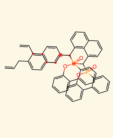 C=CCc1ccc(COC(c2cccc3cccc(C(OCc4ccc(CC=C)cc4)P4(=O)Oc5ccccc5-c5ccccc54)c23)P2(=O)Oc3ccccc3-c3ccccc32)cc1